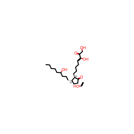 C=CO.CCCCCC(O)CCC[C@H]1CCC(=O)[C@@H]1CCCCC=C(O)C(=O)CO